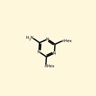 CCCCCCc1nc(N)nc(CCCCCC)n1